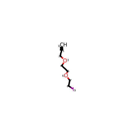 C#CCOCCOCCI